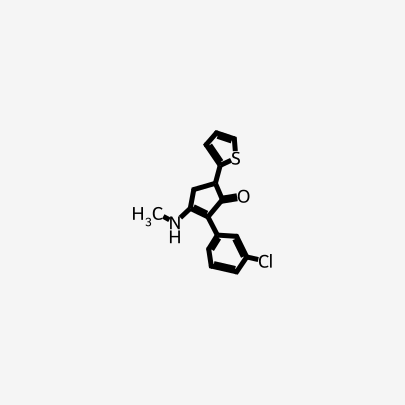 CNC1=C(c2cccc(Cl)c2)C(=O)C(c2cccs2)C1